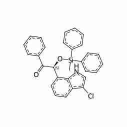 C[Si](O[C@H](C(=O)c1ccccc1)c1cccc2c(Cl)c[nH]c12)(c1ccccc1)c1ccccc1